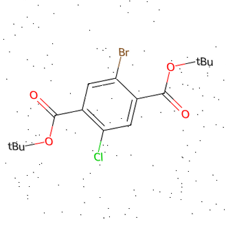 CC(C)(C)OC(=O)c1cc(Br)c(C(=O)OC(C)(C)C)cc1Cl